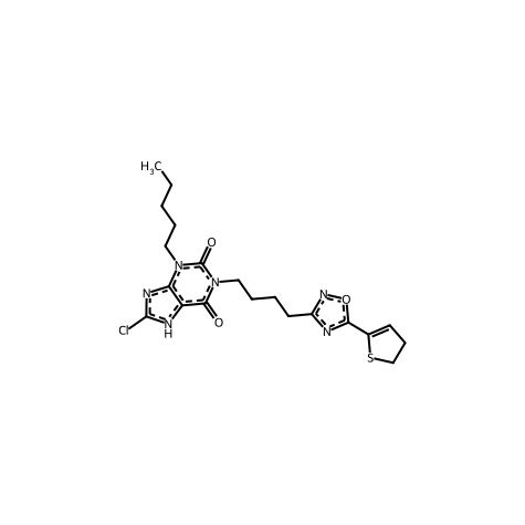 CCCCCn1c(=O)n(CCCCc2noc(C3=CCCS3)n2)c(=O)c2[nH]c(Cl)nc21